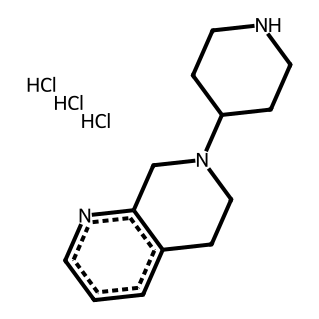 Cl.Cl.Cl.c1cnc2c(c1)CCN(C1CCNCC1)C2